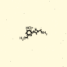 C=Cc1cccc(N2CC(CN)C2)n1.Cl